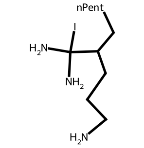 CCCCCCC(CCCN)C(N)(N)I